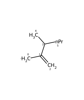 [CH2]C(=C)C(C)CCC